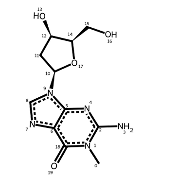 Cn1c(N)nc2c(ncn2[C@H]2C[C@@H](O)[C@@H](CO)O2)c1=O